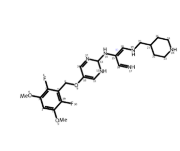 COc1cc(OC)c(F)c(COC2=CNC(N/C(C=N)=C/NCC3CCNCC3)N=C2)c1F